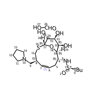 CC(C)(C)[S@@+]([O-])N[C@@H]1C/C=C\[C@@H](CN2CCCC2)CS[C@H]2O[C@H]1[C@H](O)[C@H](O)[C@H]2O.O=CO